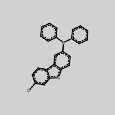 Clc1ccc2c(c1)sc1ccc(N(c3ccccc3)c3ccccc3)cc12